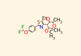 C=C1OC(C)(C)C(=O)C(c2nc(-c3ccc(OC(F)F)cc3)sc2CC)C1=O